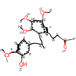 COc1ccc(C(C)c2c(CCC(C)=O)cc(OC)c(OC)c2OC)cc1O